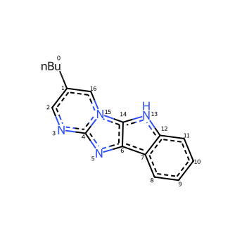 CCCCc1cnc2nc3c4ccccc4[nH]c3n2c1